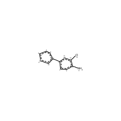 Nc1ccc(-c2cccnc2)nc1Cl